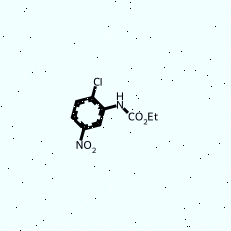 CCOC(=O)Nc1cc([N+](=O)[O-])ccc1Cl